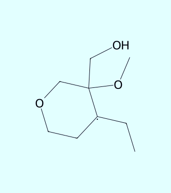 CC[C]1CCOCC1(CO)OC